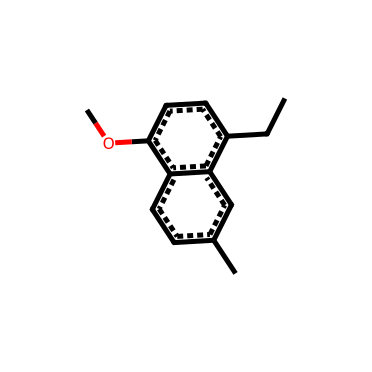 CCc1ccc(OC)c2ccc(C)cc12